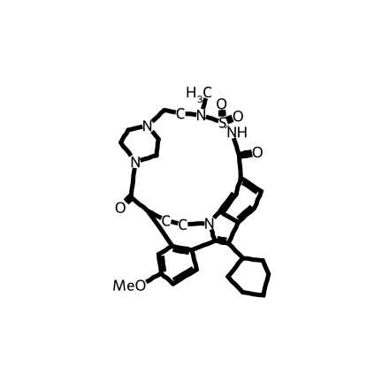 COc1ccc2c(c1)C1CCn3c-2c(C2CCCCC2)c2ccc(cc23)C(=O)NS(=O)(=O)N(C)CCN2CCN(CC2)C1=O